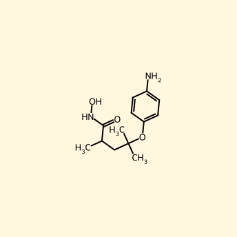 CC(CC(C)(C)Oc1ccc(N)cc1)C(=O)NO